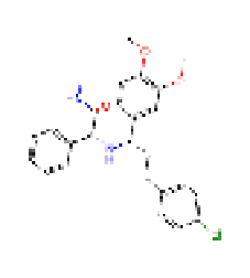 CNC(=O)[C@H](N[C@@H](CCc1ccc(Cl)cc1)c1ccc(OC)c(OC)c1)c1ccccc1